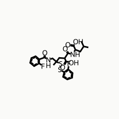 CC(C)CC(NC(=O)C(CC(C)(CNC(=O)c1ccccc1F)SSc1ccccc1F)C(=O)O)C(=O)O